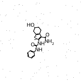 NC(=O)c1c(NC(=O)Nc2ccccc2)sc2c1CC[C@H](O)C2